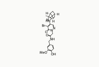 COc1cc(CNC(=O)Cn2ncc(N[C@@H]3C[C@@H]4C[C@H]([C@H]3C)C4(C)C)c(Br)c2=O)ccc1O